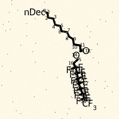 CCCCCCCCCCCCCCCCCCCCCC(=O)OCCC(F)(F)C(F)(F)C(F)(F)C(F)(F)C(F)(F)C(F)(F)C(F)(F)C(F)(F)F